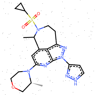 CC1c2cc(N3CCOC[C@H]3C)nc3c2c(nn3-c2cc[nH]n2)CCN1S(=O)(=O)C1CC1